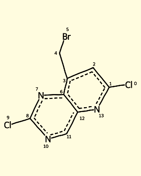 Clc1cc(CBr)c2nc(Cl)ncc2n1